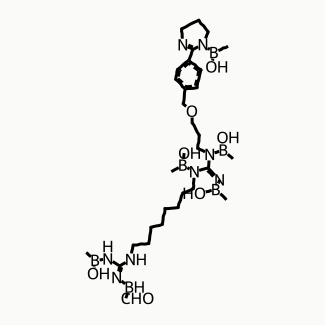 CB(O)/N=C(\N(CCCCCCCCN/C(=N\BC=O)NB(C)O)B(C)O)N(CCCOCc1ccc(C2=NCCCN2B(C)O)cc1)B(C)O